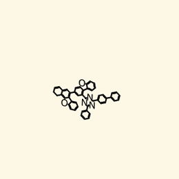 C1=Cc2cc(-c3cc(-c4nc(-c5ccccc5)nc(-c5ccc(-c6ccccc6)cc5)n4)c4c(c3)oc3ccccc34)c3c(oc4ccccc43)c2CC1